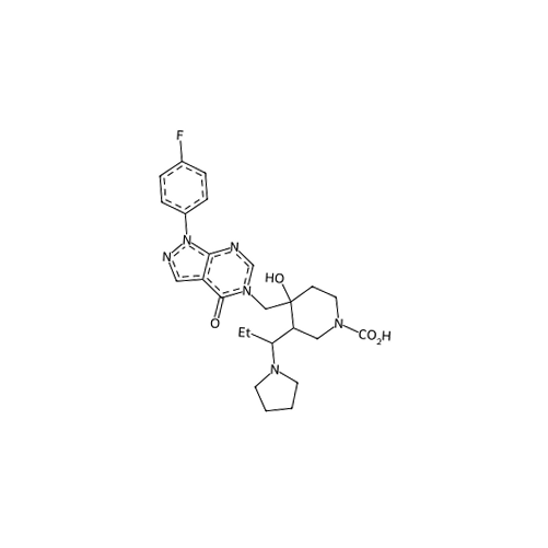 CCC(C1CN(C(=O)O)CCC1(O)Cn1cnc2c(cnn2-c2ccc(F)cc2)c1=O)N1CCCC1